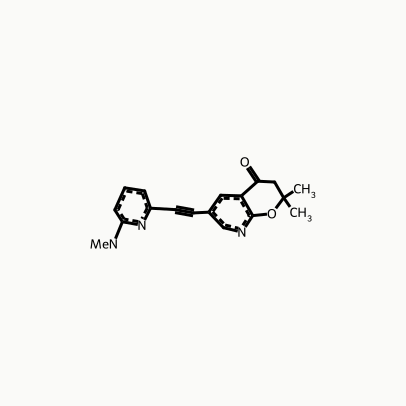 CNc1cccc(C#Cc2cnc3c(c2)C(=O)CC(C)(C)O3)n1